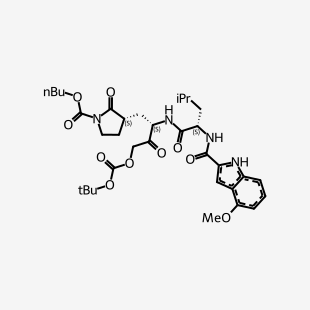 CCCCOC(=O)N1CC[C@@H](C[C@H](NC(=O)[C@H](CC(C)C)NC(=O)c2cc3c(OC)cccc3[nH]2)C(=O)COC(=O)OC(C)(C)C)C1=O